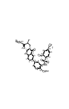 CNC(=O)[C@@H](C)Cn1cnc2ccc(-c3cnc(OC)c(NS(=O)(=O)c4ccc(C(F)(F)F)cc4Cl)c3)cc2c1=O